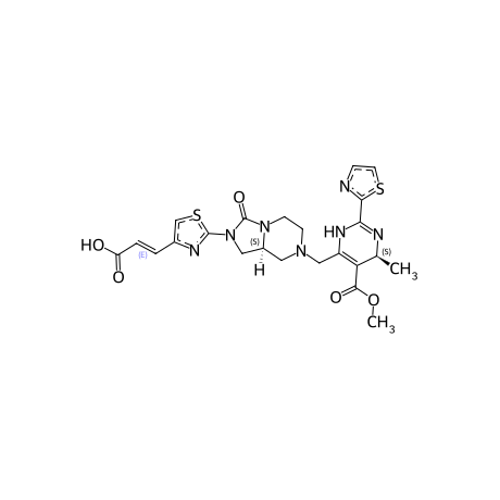 COC(=O)C1=C(CN2CCN3C(=O)N(c4nc(/C=C/C(=O)O)cs4)C[C@@H]3C2)NC(c2nccs2)=N[C@H]1C